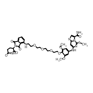 COc1cc(Nc2cc3ncc(C(N)=O)n3c(SC)n2)cc(OC)c1OCCOCCOCCOCCNc1cccc2c1C(=O)N(C1CCC(=O)NC1=O)C2=O